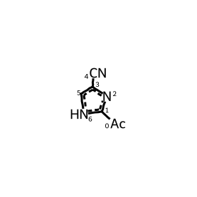 CC(=O)c1nc(C#N)c[nH]1